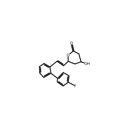 O=C1CC(O)CC(/C=C/c2ccccc2-c2ccc(F)cc2)O1